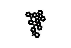 c1ccc2c(c1)-c1ccccc1C21c2cccc3c2-c2c1ccc1c4ccccc4n(c21)-c1cccc(N(c2ccc4sc5ccccc5c4c2)c2cccc4ccccc24)c1-3